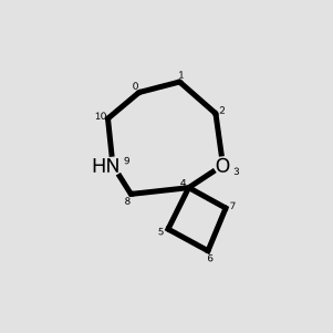 C1CCOC2(CCC2)CNC1